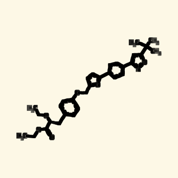 CCOC(=O)[C@H](Cc1ccc(OCc2ccc(-c3ccc(-c4cc(C(C)(C)C)on4)cc3)o2)cc1)OCC